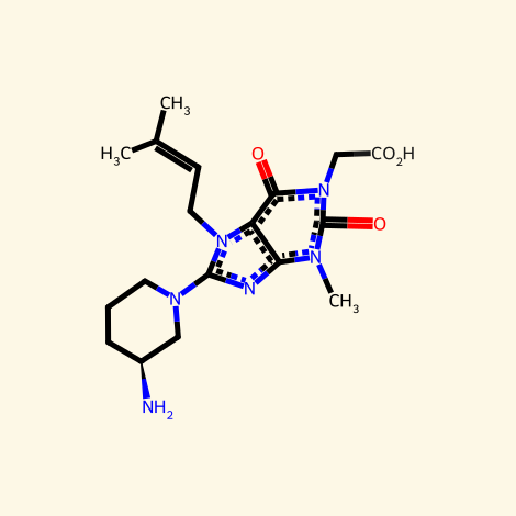 CC(C)=CCn1c(N2CCC[C@H](N)C2)nc2c1c(=O)n(CC(=O)O)c(=O)n2C